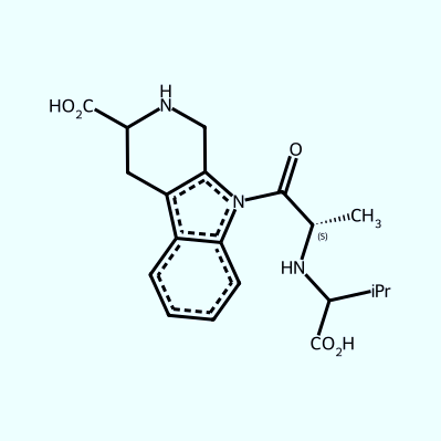 CC(C)C(N[C@@H](C)C(=O)n1c2c(c3ccccc31)CC(C(=O)O)NC2)C(=O)O